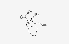 C=CCCN(C(C)C)[C@@H](CC1CCCCC1)C(=O)C(C)C